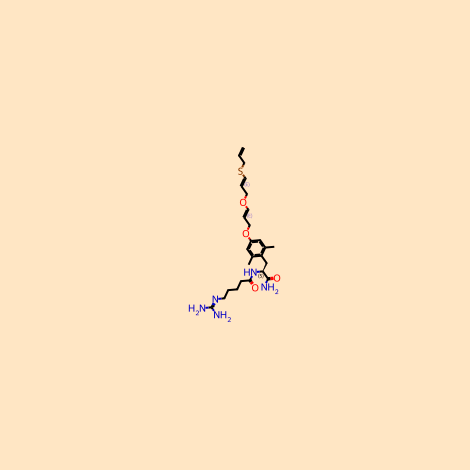 C=CCS/C=C/CO/C=C/COc1cc(C)c(C[C@H](NC(=O)CCCCN=C(N)N)C(N)=O)c(C)c1